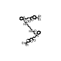 CCN(CC)c1ccc2cc(/C=C/c3sc4ccccc4[n+]3CC(=O)NCCCCCNC(=O)C[n+]3c(/C=C/c4cc5ccc(N(CC)CC)cc5oc4=O)sc4ccccc43)c(=O)oc2c1